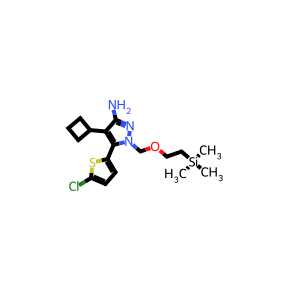 C[Si](C)(C)CCOCn1nc(N)c(C2CCC2)c1-c1ccc(Cl)s1